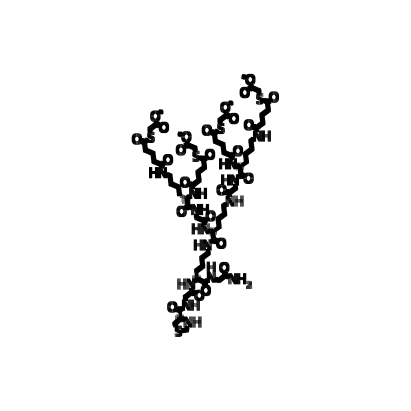 COC(=O)CSC(=O)CCCC(=O)NCCCC[C@H](NC(=O)CCCC(=O)SCC(=O)OC)C(=O)NCC(=O)NCCCC[C@H](NC(=O)CNC(=O)[C@H](CCCCNC(=O)CCCC(=O)SCC(=O)OC)NC(=O)CCCC(=O)SCC(=O)OC)C(=O)NCCCC[C@H](NC(=O)CNC(=O)[C@@H]1CSCN1)C(=O)NCC(N)=O